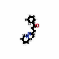 CC(CCC(=O)c1ccccc1)=NN1CCCCC1